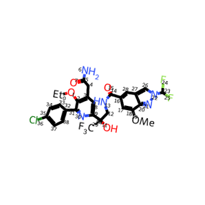 CCOc1c(CC(N)=O)cc([C@@](O)(CNC(=O)c2cc(OC)c3nn(C(F)F)cc3c2)C(F)(F)F)nc1-c1ccc(Cl)cc1